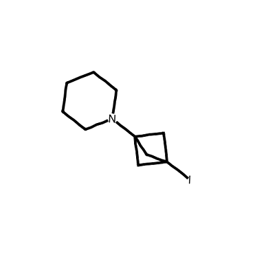 IC12CC(N3CCCCC3)(C1)C2